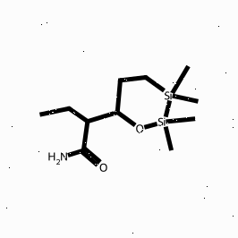 CCC(C(N)=O)C1CC[Si](C)(C)[Si](C)(C)O1